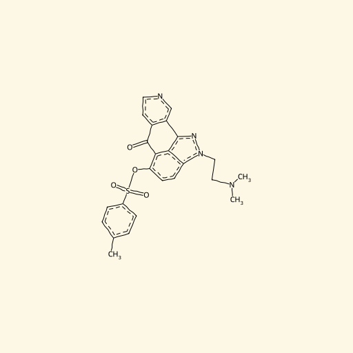 Cc1ccc(S(=O)(=O)Oc2ccc3c4c(nn3CCN(C)C)-c3cnccc3C(=O)c24)cc1